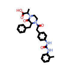 Cc1ccccc1NC(=O)Nc1ccc(CC(=O)N2CCN(C(C)C(=O)O)C(=O)C2Cc2ccccc2)cc1